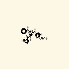 CCC(Nc1nc(Nc2cnc(OC)c(F)c2)nc(NC2CCCCCC2)n1)C1CCCN1